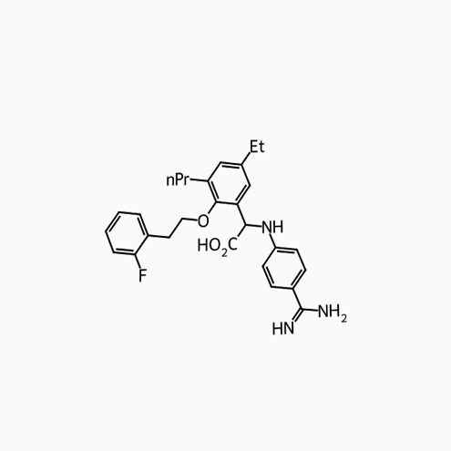 CCCc1cc(CC)cc(C(Nc2ccc(C(=N)N)cc2)C(=O)O)c1OCCc1ccccc1F